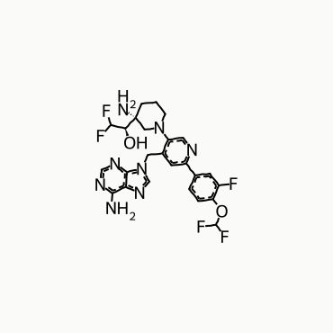 Nc1ncnc2c1ncn2Cc1cc(-c2ccc(OC(F)F)c(F)c2)ncc1N1CCC[C@](N)([C@@H](O)C(F)F)C1